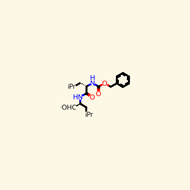 CC(C)C[C@@H]([C]=O)NC(=O)[C@H](CC(C)C)NC(=O)OCc1ccccc1